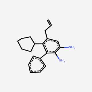 C=CCc1cc(N)c(N)c(-c2ccccc2)c1C1CCCCC1